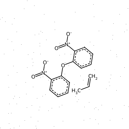 C=CC.O=[N+]([O-])c1ccccc1Oc1ccccc1[N+](=O)[O-]